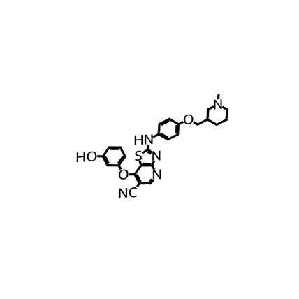 CN1CCCC(COc2ccc(Nc3nc4ncc(C#N)c(Oc5cccc(O)c5)c4s3)cc2)C1